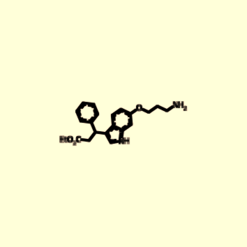 CCOC(=O)CC(c1ccccc1)c1c[nH]c2cc(OCCCN)ccc12